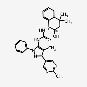 Cc1ncc(-c2nn(-c3ccccc3)c(NC(=O)N[C@@H]3c4ccccc4C(C)(C)C[C@H]3O)c2C)cn1